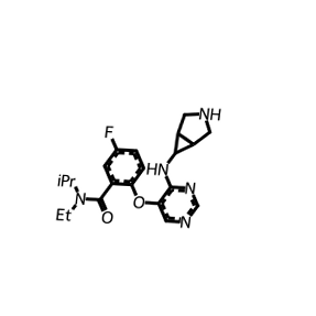 CCN(C(=O)c1cc(F)ccc1Oc1cncnc1NC1C2CNCC21)C(C)C